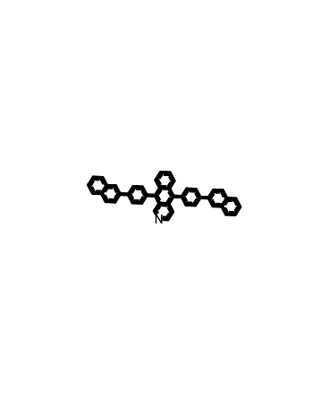 c1ccc2cc(-c3ccc(-c4c5ccccc5c(-c5ccc(-c6ccc7ccccc7c6)cc5)c5cnccc45)cc3)ccc2c1